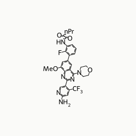 CCCS(=O)(=O)Nc1cccc(-c2cc(OC)c3nc(-c4cnc(N)cc4C(F)(F)F)nc(N4CCOCC4)c3c2)c1F